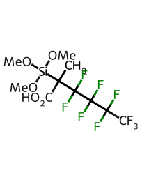 CO[Si](OC)(OC)C(C)(C(=O)O)C(F)(F)C(F)(F)C(F)(F)C(F)(F)F